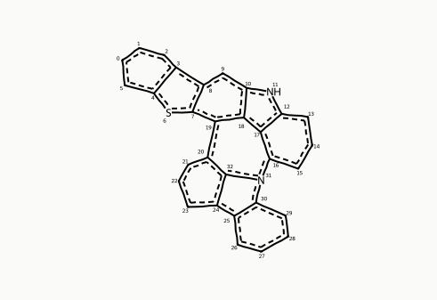 c1ccc2c(c1)sc1c2cc2[nH]c3cccc4c3c2c1c1cccc2c3ccccc3n4c21